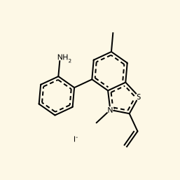 C=Cc1sc2cc(C)cc(-c3ccccc3N)c2[n+]1C.[I-]